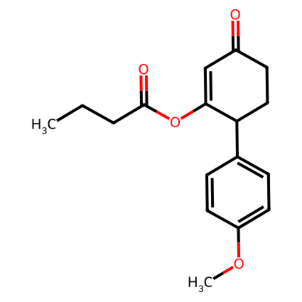 CCCC(=O)OC1=CC(=O)CCC1c1ccc(OC)cc1